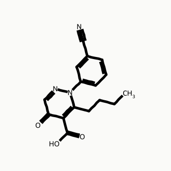 CCCCc1c(C(=O)O)c(=O)cnn1-c1cccc(C#N)c1